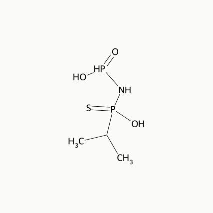 CC(C)P(O)(=S)N[PH](=O)O